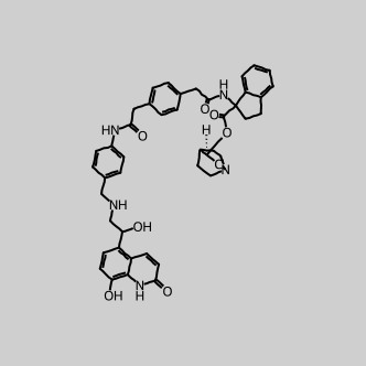 O=C(Cc1ccc(CC(=O)NC2(C(=O)O[C@H]3CN4CCC3CC4)CCc3ccccc32)cc1)Nc1ccc(CNCC(O)c2ccc(O)c3[nH]c(=O)ccc23)cc1